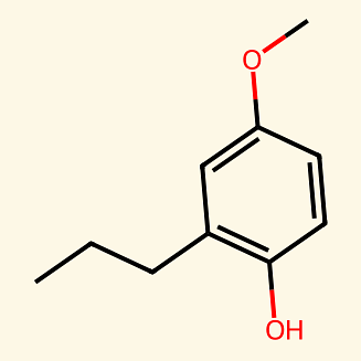 CCCc1cc(OC)ccc1O